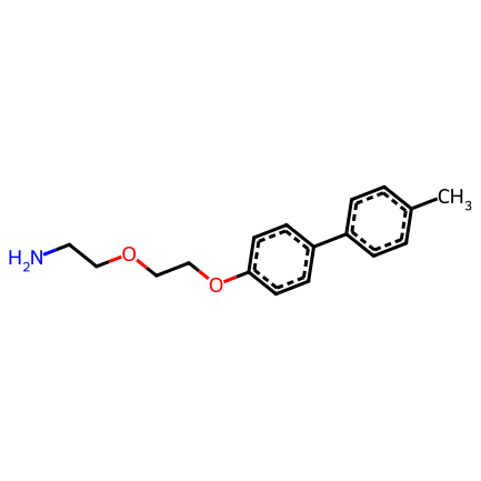 Cc1ccc(-c2ccc(OCCOCCN)cc2)cc1